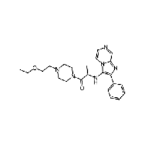 CCOCCN1CCN(C(=O)C(C)Nc2c(-c3ccccc3)nc3cnccn23)CC1